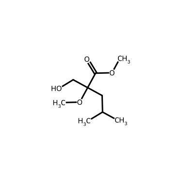 COC(=O)C(CO)(CC(C)C)OC